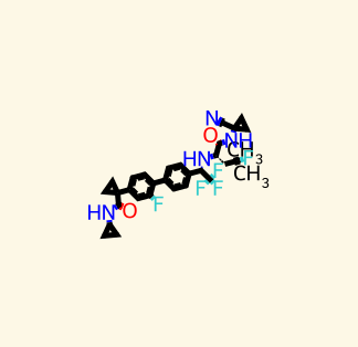 CC(C)(F)C[C@H](N[C@@H](c1ccc(-c2ccc(C3(C(=O)NC4CC4)CC3)cc2F)cc1)C(F)(F)F)C(=O)NC1(C#N)CC1